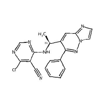 C[C@H](Nc1ncnc(Cl)c1C#N)c1cc2nccn2nc1-c1ccccc1